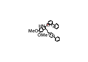 COc1cc2[nH]c(C)c(CCN3CCN(c4ccccc4)CC3)c2cc1OC.c1ccc(-c2ccccc2)cc1